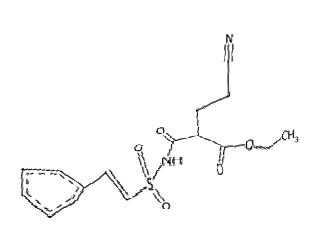 CCOC(=O)C(CCC#N)C(=O)NS(=O)(=O)C=Cc1ccccc1